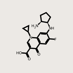 N[C@H]1CCC[C@H]1Nc1cc2c(cc1F)c(=O)c(C(=O)O)cn2C1CC1